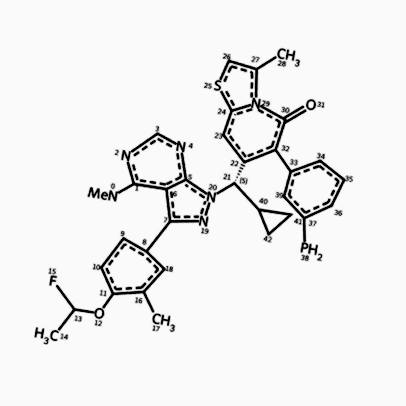 CNc1ncnc2c1c(-c1ccc(OC(C)F)c(C)c1)nn2[C@H](c1cc2scc(C)n2c(=O)c1-c1cccc(P)c1)C1CC1